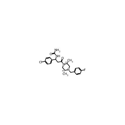 C[C@@H]1CN(C(=O)CC(NC(N)=O)c2ccc(Cl)cc2)[C@@H](C)CN1Cc1ccc(F)cc1